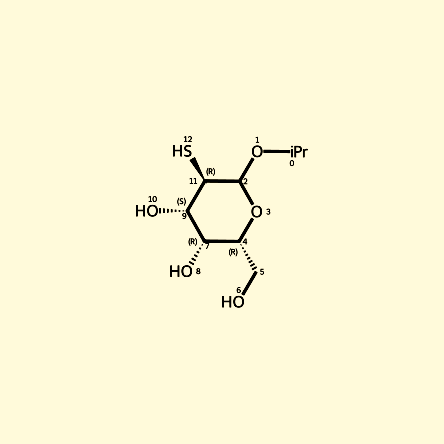 CC(C)OC1O[C@H](CO)[C@H](O)[C@H](O)[C@H]1S